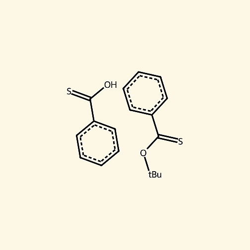 CC(C)(C)OC(=S)c1ccccc1.OC(=S)c1ccccc1